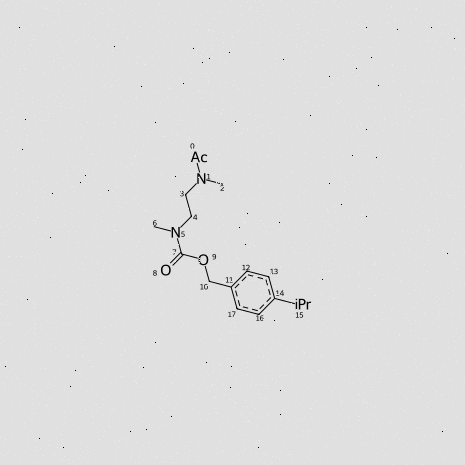 CC(=O)N(C)CCN(C)C(=O)OCc1ccc(C(C)C)cc1